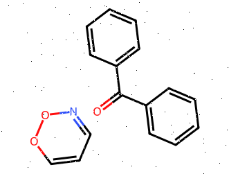 C1=COON=C1.O=C(c1ccccc1)c1ccccc1